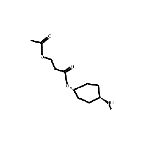 CN[C@H]1CC[C@H](OC(=O)CCOC(C)=O)CC1